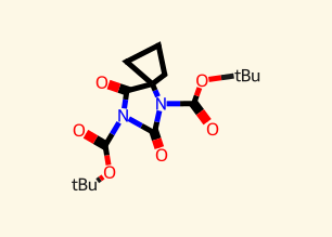 CC(C)(C)OC(=O)N1C(=O)N(C(=O)OC(C)(C)C)C2(CCC2)C1=O